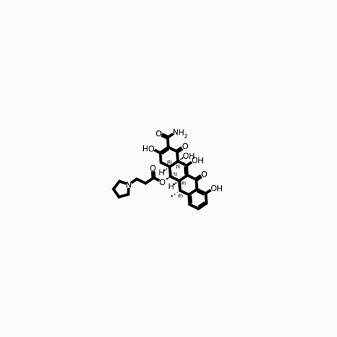 C[C@H]1c2cccc(O)c2C(=O)C2=C(O)[C@]3(O)C(=O)C(C(N)=O)=C(O)C[C@@H]3[C@@H](OC(=O)CCN3CCCC3)[C@@H]21